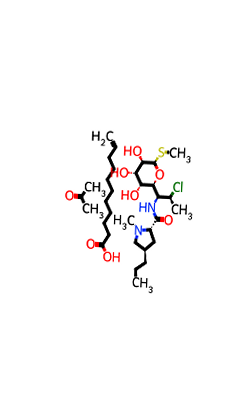 C=CCCCCCCCCC(=O)O.CC(C)=O.CCC[C@@H]1C[C@@H](C(=O)N[C@@H]([C@H]2O[C@H](SC)[C@H](O)[C@@H](O)[C@H]2O)[C@H](C)Cl)N(C)C1